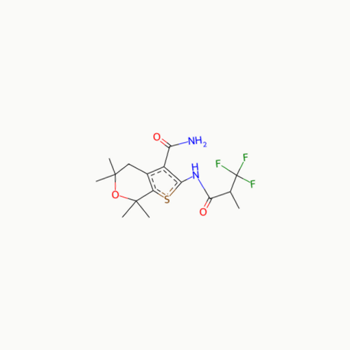 CC(C(=O)Nc1sc2c(c1C(N)=O)CC(C)(C)OC2(C)C)C(F)(F)F